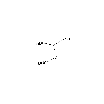 CCCCC(CCCC)OC=O